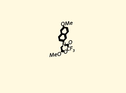 COC(=O)CN(C(=O)C(F)(F)F)c1ccc2cc(OC)ccc2c1